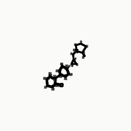 C[C@@H]1CCCN1C[C@H]1C[C@@H]1c1ccc(-n2ncccc2=O)cc1